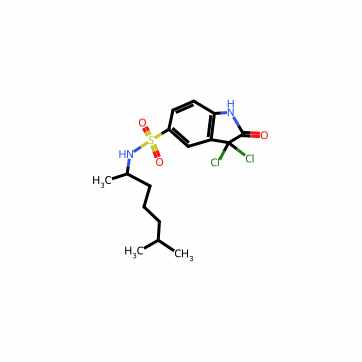 CC(C)CCCC(C)NS(=O)(=O)c1ccc2c(c1)C(Cl)(Cl)C(=O)N2